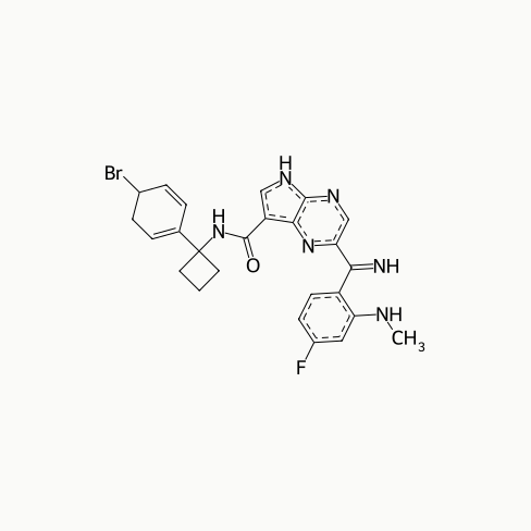 CNc1cc(F)ccc1C(=N)c1cnc2[nH]cc(C(=O)NC3(C4=CCC(Br)C=C4)CCC3)c2n1